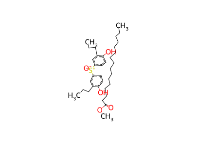 CCCCCCCCCCCCCCCC(=O)OC.CCCc1cc([S+]([O-])c2ccc(O)c(CCC)c2)ccc1O